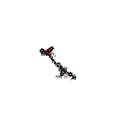 Cc1ncsc1-c1ccc(CNC(=O)[C@@H]2C[C@@H](O)CN2C(=O)[C@@H](NC(=O)CN2CCN(CCOCCOCCCc3cc(N4C5CCC4CN(c4cc(-c6ccccc6O)nnc4N)C5)ccn3)CC2)C(C)(C)C)cc1